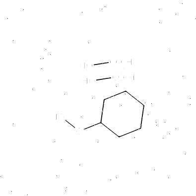 O=C(O)O.O=C(O)O.OOC1CCCCC1